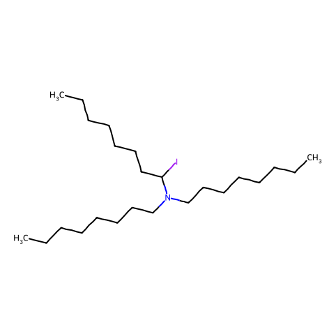 CCCCCCCCN(CCCCCCCC)C(I)CCCCCCC